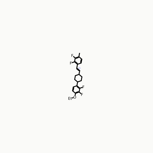 CCOc1ccc(C2CCC(/C=C/c3ccc(C)c(F)c3F)CC2)c(F)c1F